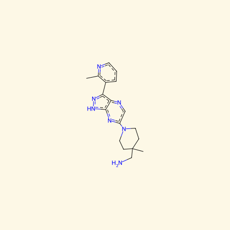 Cc1ncccc1-c1n[nH]c2nc(N3CCC(C)(CN)CC3)cnc12